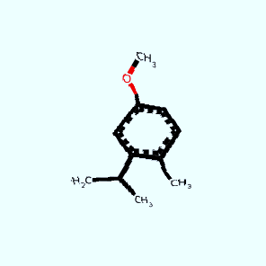 [CH2]C(C)c1cc(OC)ccc1C